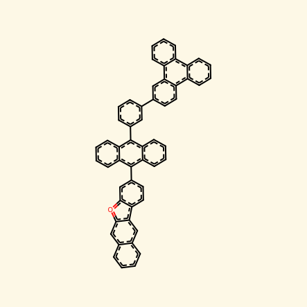 c1cc(-c2ccc3c4ccccc4c4ccccc4c3c2)cc(-c2c3ccccc3c(-c3ccc4c(c3)oc3cc5ccccc5cc34)c3ccccc23)c1